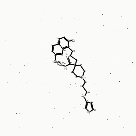 COc1ccc2ncc(Cl)c(CCCC3(C(=O)NO)CCN(CCCSc4ccsc4)CC3)c2c1